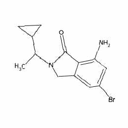 CC(C1CC1)N1Cc2cc(Br)cc(N)c2C1=O